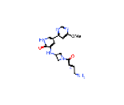 COc1cc(-c2c[nH]c(=O)c(NC3CN(C(=O)/C=C/CN)C3)c2)ncn1